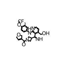 N=C(c1c(CO)ccnc1Nc1ccc(OC(F)(F)F)cc1)C1CN(C(=O)C2=CCOC2)C1